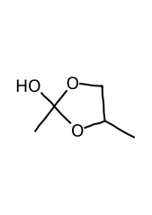 CC1COC(C)(O)O1